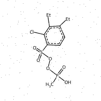 CCc1ccc(S(=O)(=O)OOP(C)(=O)O)c(Cl)c1CC